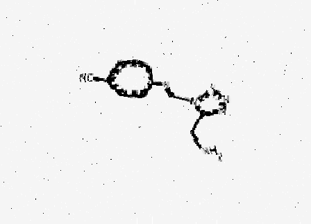 N#Cc1ccc(/N=C/n2nnnc2CN)cc1